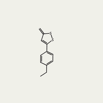 C=C1C=C(c2ccc(CC)cc2)SS1